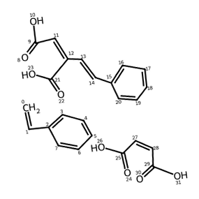 C=Cc1ccccc1.O=C(O)/C=C(/C=C/c1ccccc1)C(=O)O.O=C(O)/C=C\C(=O)O